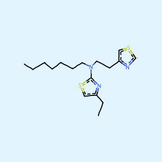 CCCCCCCN(CCc1cs[c]n1)c1nc(CC)cs1